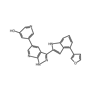 Oc1cncc(-c2cnc3[nH]nc(-c4cc5c(-c6ccoc6)cccc5[nH]4)c3c2)c1